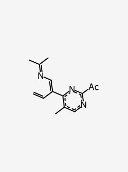 C=C/C(=C\N=C(C)C)c1nc(C(C)=O)ncc1C